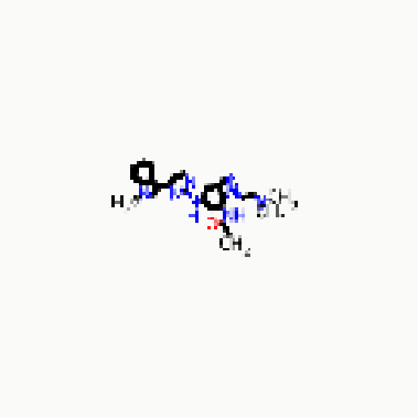 C=CC(=O)Nc1cc(Nc2nccc(-c3cn(C)c4ccccc34)n2)cc2cnn(CCN(C)C)c12